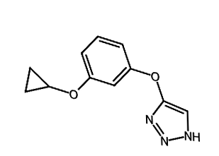 c1cc(Oc2c[nH]nn2)cc(OC2CC2)c1